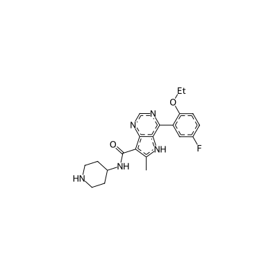 CCOc1ccc(F)cc1-c1ncnc2c(C(=O)NC3CCNCC3)c(C)[nH]c12